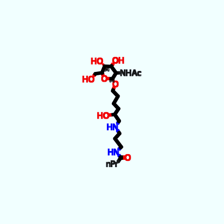 CCCC(=O)NCCCNCC(O)CCCCO[C@@H]1OC(CO)[C@H](O)C(O)C1NC(C)=O